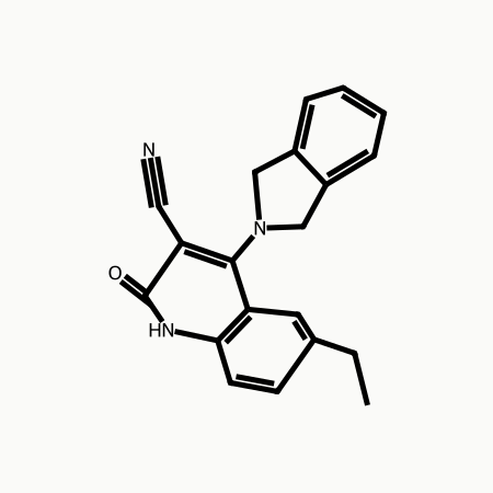 CCc1ccc2[nH]c(=O)c(C#N)c(N3Cc4ccccc4C3)c2c1